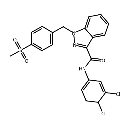 CS(=O)(=O)c1ccc(Cn2nc(C(=O)NC3=CCC(Cl)C(Cl)=C3)c3ccccc32)cc1